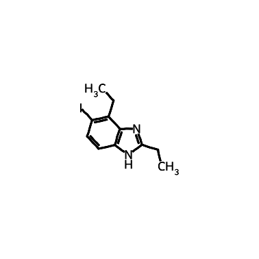 CCc1nc2c(CC)c(I)ccc2[nH]1